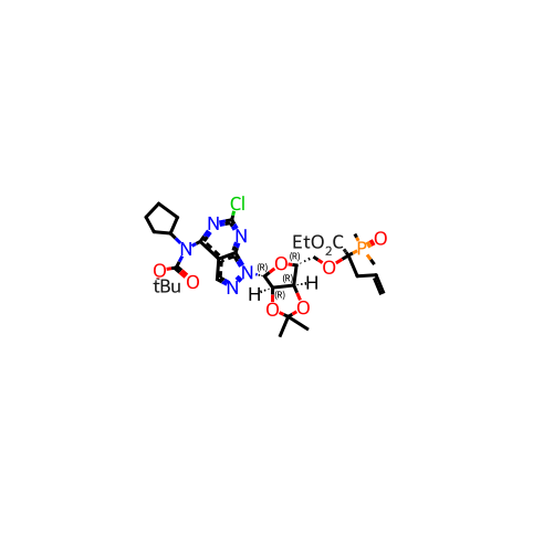 C=CCC(OC[C@H]1O[C@@H](n2ncc3c(N(C(=O)OC(C)(C)C)C4CCCC4)nc(Cl)nc32)[C@@H]2OC(C)(C)O[C@@H]21)(C(=O)OCC)P(C)(C)=O